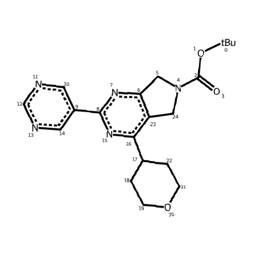 CC(C)(C)OC(=O)N1Cc2nc(-c3cncnc3)nc(C3CCOCC3)c2C1